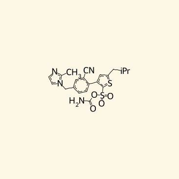 Cc1nccn1Cc1ccc(-c2cc(CC(C)C)sc2S(=O)(=O)OC(N)=O)c(C#N)c1